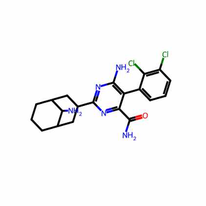 NC(=O)c1nc(C2CC3CCCC(C2)C3N)nc(N)c1-c1cccc(Cl)c1Cl